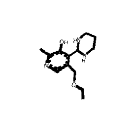 CCOCc1cnc(C)c(O)c1C1NCCCN1